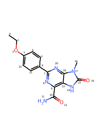 CCOc1ccc(-c2nc(C(N)=O)c3[nH]c(=O)n(C)c3n2)cc1